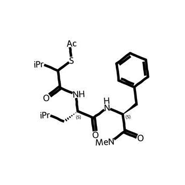 CNC(=O)[C@H](Cc1ccccc1)NC(=O)[C@H](CC(C)C)NC(=O)C(SC(C)=O)C(C)C